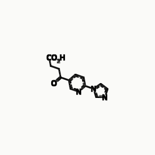 O=C(O)CCC(=O)c1ccc(-n2ccnc2)nc1